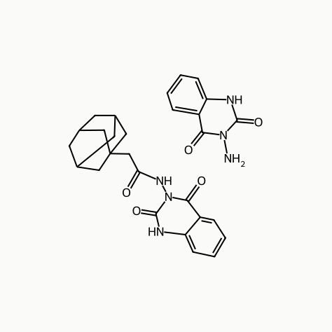 Nn1c(=O)[nH]c2ccccc2c1=O.O=C(CC12CC3CC(CC(C3)C1)C2)Nn1c(=O)[nH]c2ccccc2c1=O